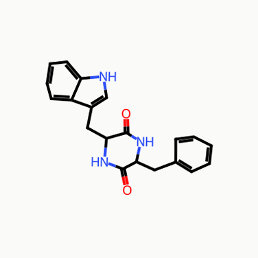 O=C1NC(Cc2c[nH]c3ccccc23)C(=O)NC1Cc1ccccc1